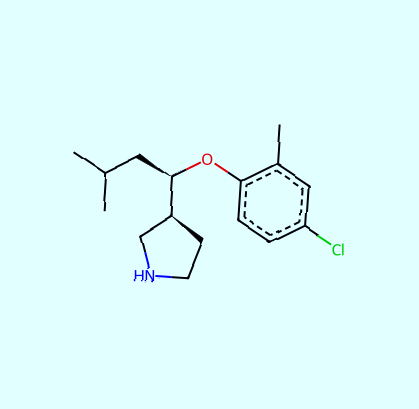 Cc1cc(Cl)ccc1O[C@H](CC(C)C)[C@H]1CCNC1